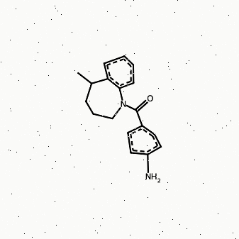 CC1CCCN(C(=O)c2ccc(N)cc2)c2ccccc21